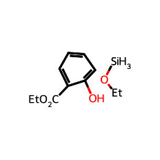 CCOC(=O)c1ccccc1O.CCO[SiH3]